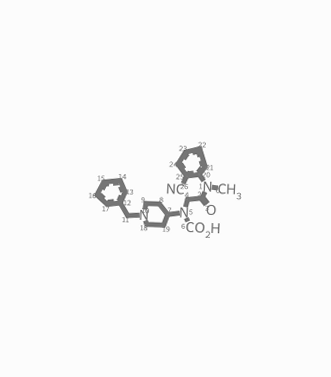 CN(C(=O)CN(C(=O)O)C1CCN(Cc2ccccc2)CC1)c1ccccc1C#N